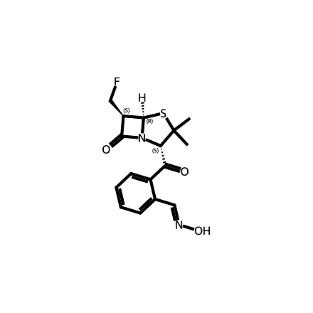 CC1(C)S[C@@H]2[C@H](CF)C(=O)N2[C@H]1C(=O)c1ccccc1C=NO